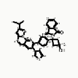 CC(C)c1cc2ncc3cc(-c4ccsc4)c(-c4ccc([C@]5(N6C(=O)c7ccccc7C6=O)C[C@](C)(O)C5)cc4)nc3n2n1